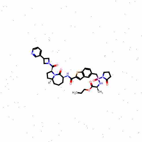 CCCOC(=O)[C@H](C)NP(=O)(Cc1ccc2sc(C(=O)N[C@H]3CCC[C@H]4CC[C@@H](C(=O)N5CC(c6cccnc6)C5)N4C3=O)cc2c1)N1CCCC1=O